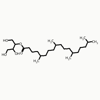 CC(C)CCCC(C)CCCC(C)CCCC(C)CCCC(=O)OC(CO)C(O)CO